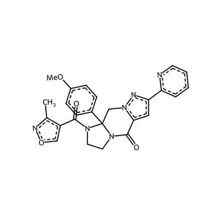 COc1ccc(C23Cn4nc(-c5ccccn5)cc4C(=O)N2CCN3C(=O)c2conc2C)cc1